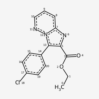 CCOC(=O)c1nc2cccnn2c1-c1ccc(Cl)cc1